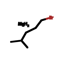 CC(C)CCCBr.[MgH2]